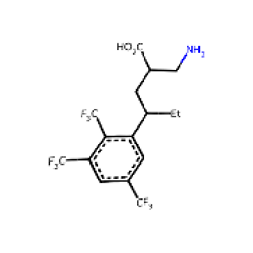 CCC(CC(CN)C(=O)O)c1cc(C(F)(F)F)cc(C(F)(F)F)c1C(F)(F)F